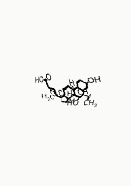 CC[C@@H]1C2C[C@H](O)CC[C@]2(C)[C@H]2CCC3(C)[C@@H]([C@H](C)CCC(=O)O)CC[C@H]3[C@H]2[C@@H]1O